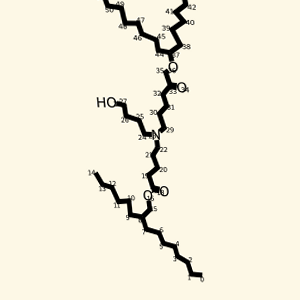 CCCCCCCCC(CCCCCC)COC(=O)CCCCN(CCCCO)CCCCC(=O)COC(CCCCCC)CCCCCCCC